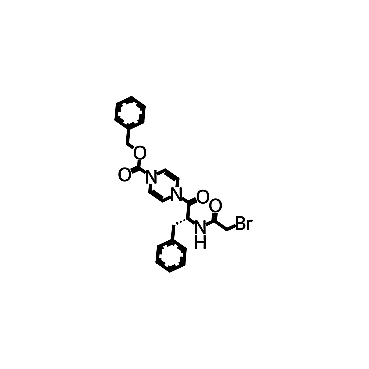 O=C(CBr)N[C@H](Cc1ccccc1)C(=O)N1C=CN(C(=O)OCc2ccccc2)C=C1